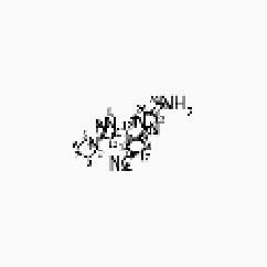 Cn1nc(N2CCCCC2)cc1Cc1cc(C#N)ccc1-c1ncc(CN)cn1